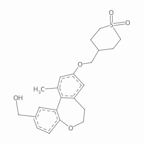 Cc1cc(OCC2CCS(=O)(=O)CC2)cc2c1-c1cc(CO)ccc1OCC2